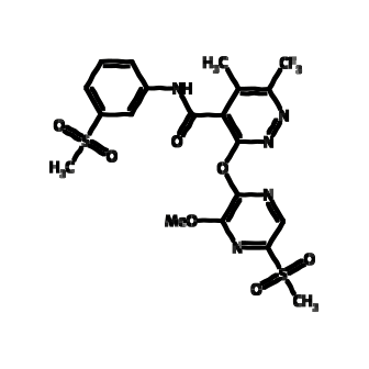 COc1nc(S(C)(=O)=O)cnc1Oc1nnc(C(F)(F)F)c(C)c1C(=O)Nc1cccc(S(C)(=O)=O)c1